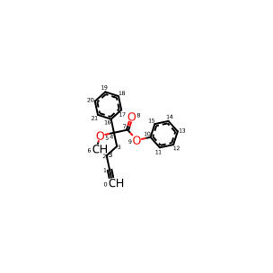 C#CCCC(OC)(C(=O)Oc1ccccc1)c1ccccc1